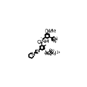 CC(=O)[O-].CC(=O)[O-].COc1cc(-c2cnn(C)c2)cc([C@@H](C)NC(=O)c2cc(N3CC(N4CCCCC4)C3)ccc2C)c1.[Pd+2]